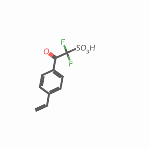 C=Cc1ccc(C(=O)C(F)(F)S(=O)(=O)O)cc1